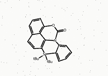 CC(C)(C)[Si]1(C(C)(C)C)c2ccccc2N2C(=O)Oc3cccc4ccc1c2c34